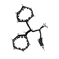 N#CC(S)C(c1ccccc1)c1ccccc1